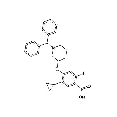 O=C(O)c1cc(C2CC2)c(OC2CCCN(C(c3ccccc3)c3ccccc3)C2)cc1F